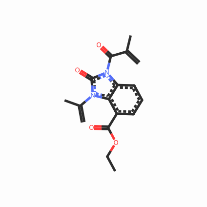 C=C(C)C(=O)n1c(=O)n(C(=C)C)c2c(C(=O)OCC)cccc21